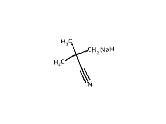 CC(C)(C)C#N.[NaH]